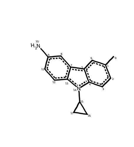 Cc1ccc2c(c1)c1cc(N)ccc1n2C1CC1